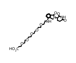 O=C(O)CCOCCOCCOCCOCCOCCNc1cccc2c1CN(C1CCC(=O)NC1=O)C2=O